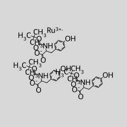 CC(C)(C)OC(=O)NC(Cc1ccc(O)cc1)C(=O)[O-].CC(C)(C)OC(=O)NC(Cc1ccc(O)cc1)C(=O)[O-].CC(C)(C)OC(=O)NC(Cc1ccc(O)cc1)C(=O)[O-].[Ru+3]